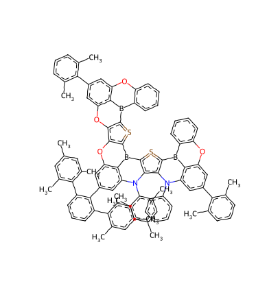 Cc1cc(C)c(-c2cccc(-c3c(C)cc(C)cc3C)c2-c2cc3c4c(c2)N(c2c(C)cc(C)cc2C)c2c(sc5c2N(c2ccccc2)c2cc(-c6c(C)cccc6C)cc6c2B5c2ccccc2O6)B4c2sc4c(c2O3)Oc2cc(-c3c(C)cccc3C)cc3c2B4c2ccccc2O3)c(C)c1